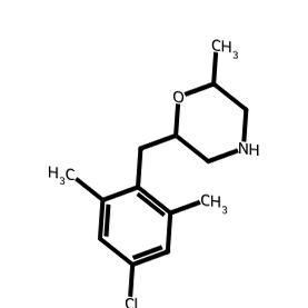 Cc1cc(Cl)cc(C)c1CC1CNCC(C)O1